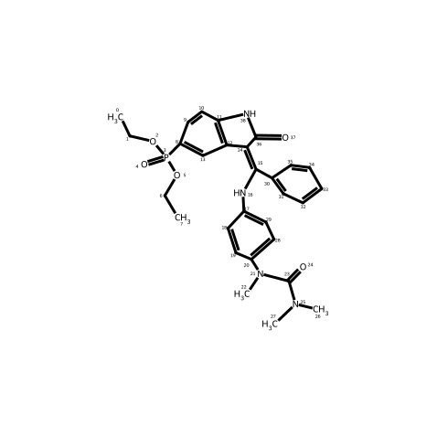 CCOP(=O)(OCC)c1ccc2c(c1)C(=C(Nc1ccc(N(C)C(=O)N(C)C)cc1)c1ccccc1)C(=O)N2